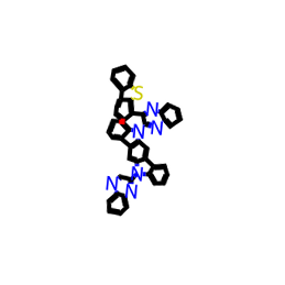 c1ccc2nc(-n3c4ccccc4c4cc5c(cc43)c3ccccc3n5-c3nc4ccccc4nc3-c3cccc4c3sc3ccccc34)cnc2c1